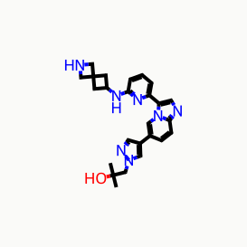 CC(C)(O)Cn1cc(-c2ccc3ncc(-c4cccc(NC5CC6(CNC6)C5)n4)n3c2)cn1